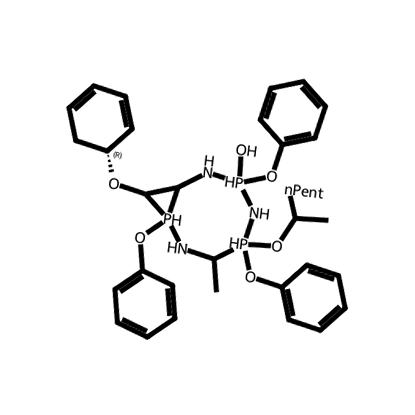 CCCCCC(C)O[PH]1(Oc2ccccc2)N[PH](O)(Oc2ccccc2)NC2C(O[C@H]3C=CC=CC3)[PH]2(Oc2ccccc2)NC1C